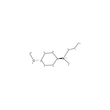 CCCN(C)[C@H]1CC[C@H](OC)CC1